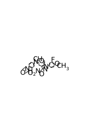 COc1ccc(-n2nc(C(N)=O)c(CCN(C)c3ccc(N4CCOCC4=O)cc3)c2C=O)cc1F